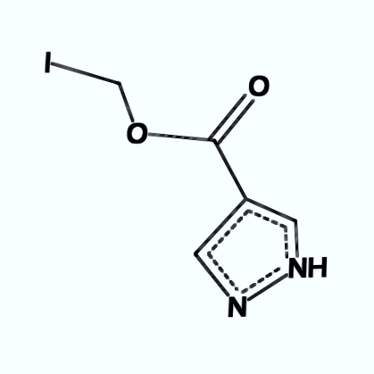 O=C(OCI)c1cn[nH]c1